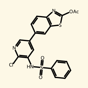 CC(=O)Oc1nc2ccc(-c3cnc(Cl)c(NS(=O)(=O)c4ccccc4)c3)cc2s1